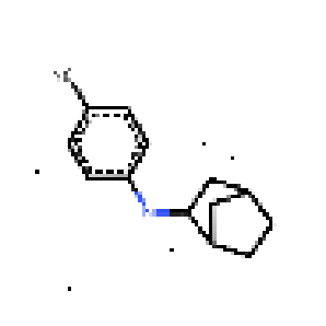 N#Cc1ccc([N]C2CC3CCC2C3)cc1